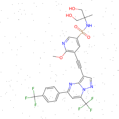 COc1ncc(S(=O)(=O)NC(C)(CO)CO)cc1C#Cc1cnn2c(C(F)(F)F)cc(-c3ccc(C(F)(F)F)cc3)nc12